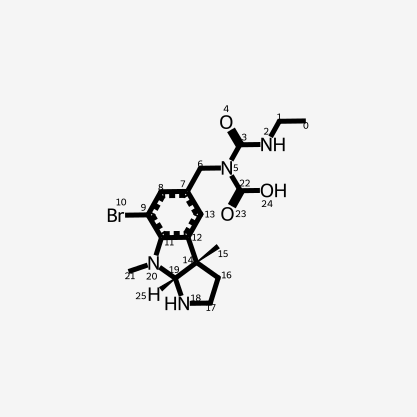 CCNC(=O)N(Cc1cc(Br)c2c(c1)[C@]1(C)CCN[C@@H]1N2C)C(=O)O